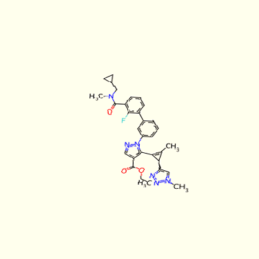 CCOC(=O)c1cnn(-c2cccc(-c3cccc(C(=O)N(C)CC4CC4)c3F)c2)c1C1=C(C)[C@H]1c1cn(C)nn1